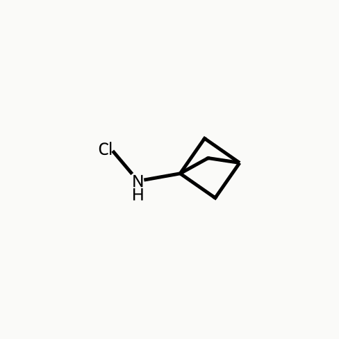 ClNC12CC(C1)C2